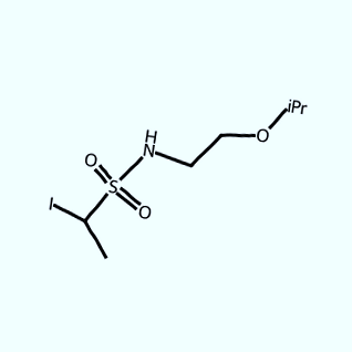 CC(C)OCCNS(=O)(=O)C(C)I